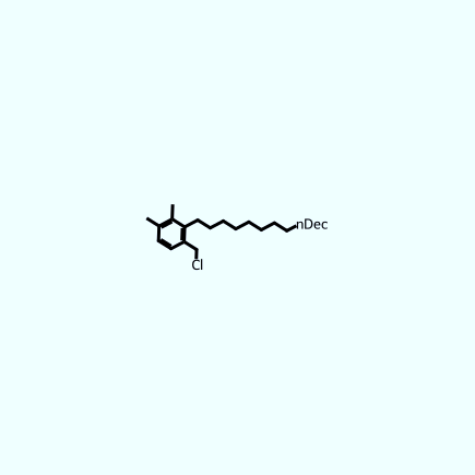 CCCCCCCCCCCCCCCCCCc1c(CCl)ccc(C)c1C